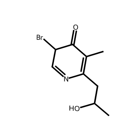 CC1=C(CC(C)O)N=CC(Br)C1=O